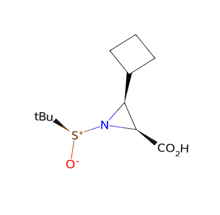 CC(C)(C)[S@+]([O-])N1[C@H](C(=O)O)[C@@H]1C1CCC1